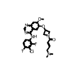 COc1cc2ncnc(Nc3ccc(F)c(Cl)c3F)c2cc1OC1CN(C(=O)C=CCN(C)C)C1